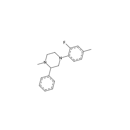 Cc1ccc(N2CCN(C)C(c3ccccc3)C2)c(F)c1